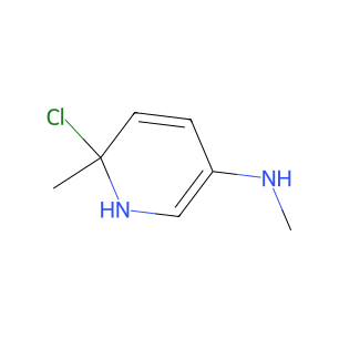 CNC1=CNC(C)(Cl)C=C1